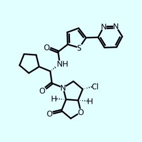 O=C(N[C@H](C(=O)N1C[C@H](Cl)[C@H]2OCC(=O)[C@H]21)C1CCCC1)c1ccc(-c2cccnn2)s1